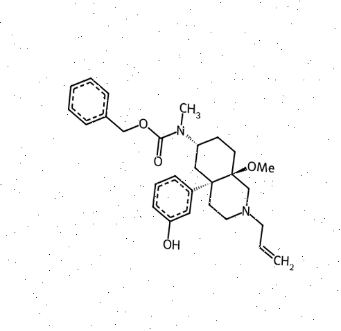 C=CCN1CC[C@@]2(c3cccc(O)c3)C[C@H](N(C)C(=O)OCc3ccccc3)CC[C@]2(OC)C1